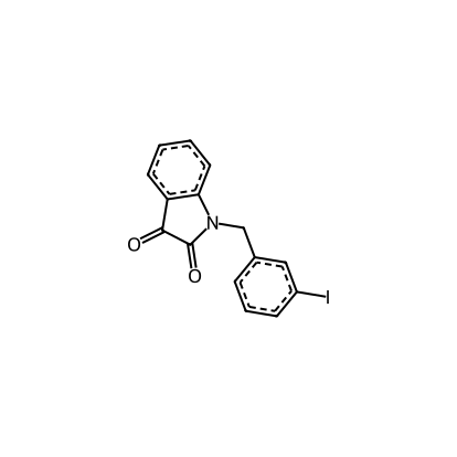 O=C1C(=O)N(Cc2cccc(I)c2)c2ccccc21